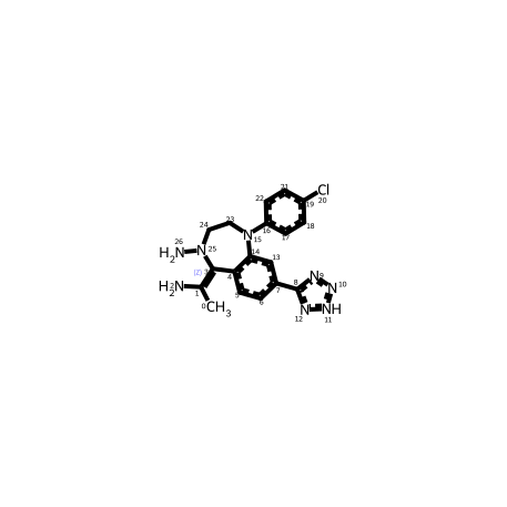 C/C(N)=C1\c2ccc(-c3nn[nH]n3)cc2N(c2ccc(Cl)cc2)CCN1N